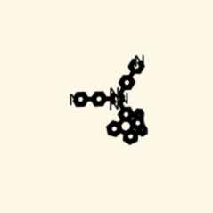 c1ccc2c(c1)-c1ccccc1C1(c3ccc(-c4nc(-c5ccc(-c6ccncc6)cc5)nc(-c5ccc(-c6ccncc6)cc5)n4)cc3-2)c2ccccc2-c2ccccc21